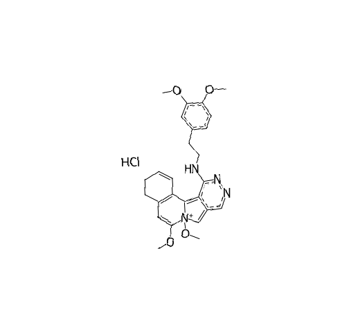 COC1=CC2=C(C=CCC2)C2=c3c(NCCc4ccc(OC)c(OC)c4)nncc3=C[N+]12OC.Cl